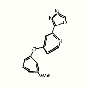 CNc1cccc(Oc2ccnc(-c3nnco3)c2)c1